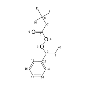 CCC(OOC(=O)CC(C)(C)C)c1ccccc1